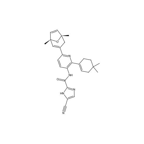 CC1(C)CC=C(c2nc(C3=C[C@]4(C)C=C[C@](C)(C3)O4)ccc2NC(=O)c2ncc(C#N)[nH]2)CC1